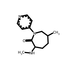 CNC1CCC(C)CN(c2ccncc2)C1=O